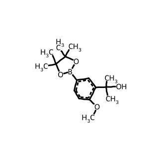 COc1ccc(B2OC(C)(C)C(C)(C)O2)cc1C(C)(C)O